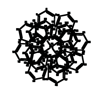 c1ccc([P](c2ccccc2)(c2ccccc2)(c2ccccc2)[Pt]([P](c2ccccc2)(c2ccccc2)(c2ccccc2)c2ccccc2)([P](c2ccccc2)(c2ccccc2)(c2ccccc2)c2ccccc2)[P](c2ccccc2)(c2ccccc2)(c2ccccc2)c2ccccc2)cc1